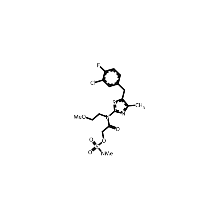 CNS(=O)(=O)OCC(=O)N(CCOC)c1nc(C)c(Cc2ccc(F)c(Cl)c2)s1